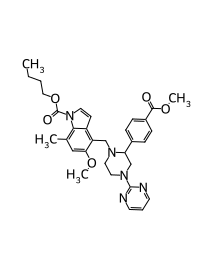 CCCCOC(=O)n1ccc2c(CN3CCN(c4ncccn4)CC3c3ccc(C(=O)OC)cc3)c(OC)cc(C)c21